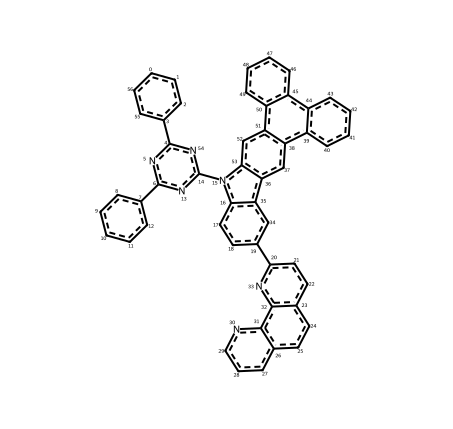 c1ccc(-c2nc(-c3ccccc3)nc(-n3c4ccc(-c5ccc6ccc7cccnc7c6n5)cc4c4cc5c6ccccc6c6ccccc6c5cc43)n2)cc1